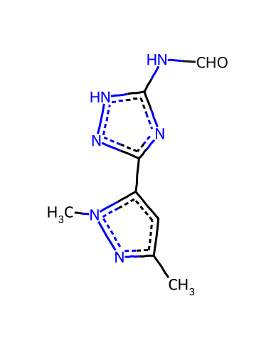 Cc1cc(-c2n[nH]c(NC=O)n2)n(C)n1